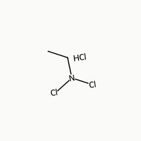 CCN(Cl)Cl.Cl